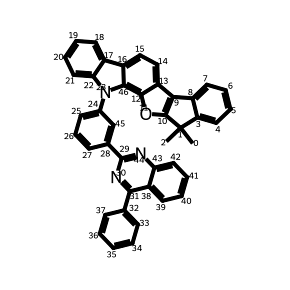 CC1(C)c2ccccc2-c2c1oc1c2ccc2c3ccccc3n(-c3cccc(-c4nc(-c5ccccc5)c5ccccc5n4)c3)c21